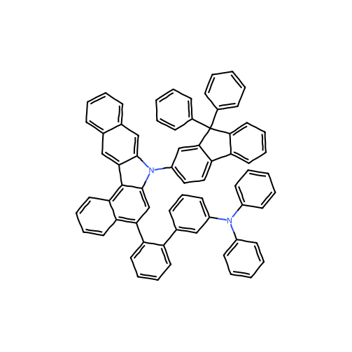 c1ccc(N(c2ccccc2)c2cccc(-c3ccccc3-c3cc4c(c5ccccc35)c3cc5ccccc5cc3n4-c3ccc4c(c3)C(c3ccccc3)(c3ccccc3)c3ccccc3-4)c2)cc1